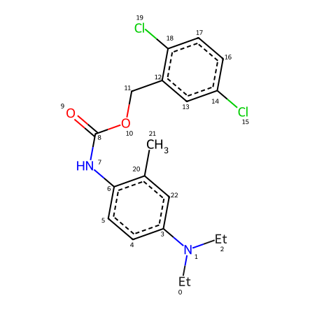 CCN(CC)c1ccc(NC(=O)OCc2cc(Cl)ccc2Cl)c(C)c1